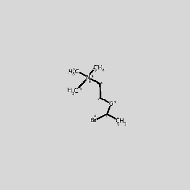 CC(Br)OCC[N+](C)(C)C